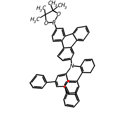 CC1(C)OB(c2ccc3c4ccc(N(C5=C(c6ccccc6)CCC=C5)c5cc(-c6ccccc6)cc(-c6ccccc6)c5)cc4c4ccccc4c3c2)OC1(C)C